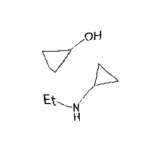 CCNC1CC1.OC1CC1